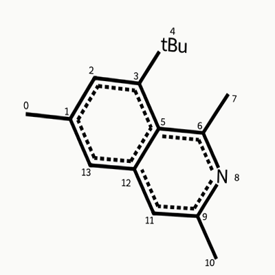 Cc1cc(C(C)(C)C)c2c(C)nc(C)cc2c1